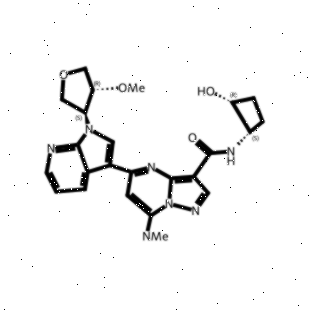 CNc1cc(-c2cn([C@H]3COC[C@@H]3OC)c3ncccc23)nc2c(C(=O)N[C@H]3CC[C@H]3O)cnn12